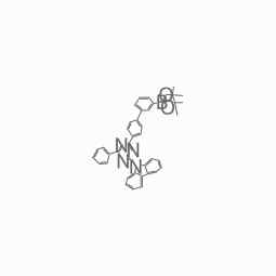 CC1(C)OB(c2cccc(-c3ccc(-c4nc(-c5ccccc5)nc(-n5c6ccccc6c6ccccc65)n4)cc3)c2)OC1(C)C